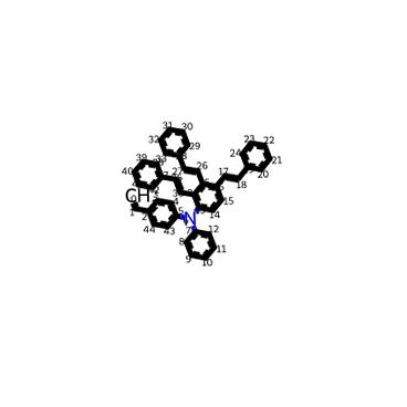 C=Cc1ccc(N(c2ccccc2)c2ccc(C=Cc3ccccc3)c(C=Cc3ccccc3)c2C=Cc2ccccc2)cc1